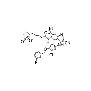 CCOc1cc2ncc(C#N)c(Nc3ccc(OCc4cccc(F)c4)c(Cl)c3)c2cc1NC(=O)CCCCC1CC[S+]([O-])[S+]1[O-]